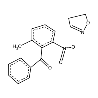 C1=NOCC1.Cc1cccc([N+](=O)[O-])c1C(=O)c1ccccc1